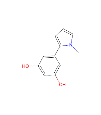 Cn1cccc1-c1cc(O)cc(O)c1